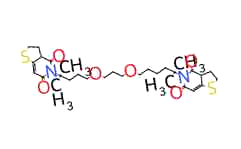 CC(C)(CCCCOCCCOCCCC(C)(C)N1C(=O)C=C2SCCC2C1=O)N1C(=O)C=C2SCCC2C1=O